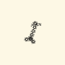 CC1(C)c2cc(-c3ccc(-c4ccc(-c5nc(-c6ccccc6)nc(-c6ccccc6)n5)cc4)cc3)ccc2-c2c(C#N)cccc21